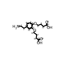 NCCc1ccc(OCCCC(=O)O)c(OCCCC(=O)O)c1